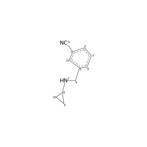 N#Cc1cccc(CNC2CC2)c1